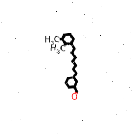 CC1CCCC(CCCCCCCC2CCCC(C=O)C2)C1C